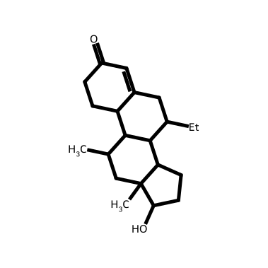 CCC1CC2=CC(=O)CCC2C2C(C)CC3(C)C(O)CCC3C12